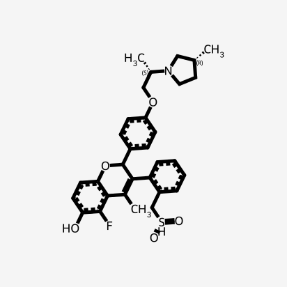 CC1=C(c2ccccc2C[SH](=O)=O)C(c2ccc(OC[C@H](C)N3CC[C@@H](C)C3)cc2)Oc2ccc(O)c(F)c21